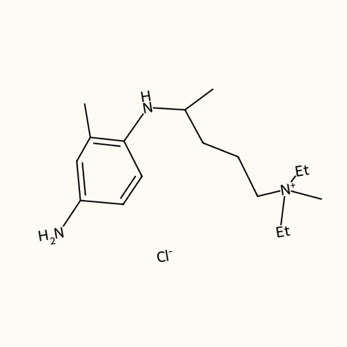 CC[N+](C)(CC)CCCC(C)Nc1ccc(N)cc1C.[Cl-]